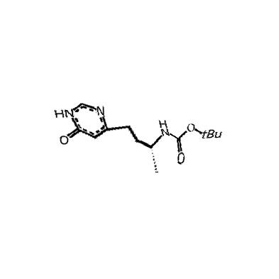 C[C@H](CCc1cc(=O)[nH]cn1)NC(=O)OC(C)(C)C